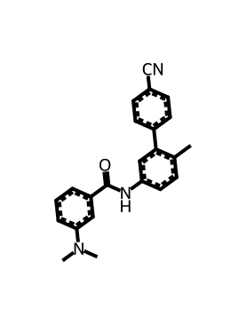 Cc1ccc(NC(=O)c2cccc(N(C)C)c2)cc1-c1ccc(C#N)cc1